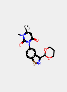 Cn1c(C(F)(F)F)cc(=O)n(-c2ccc3snc(C4OCCCO4)c3c2)c1=O